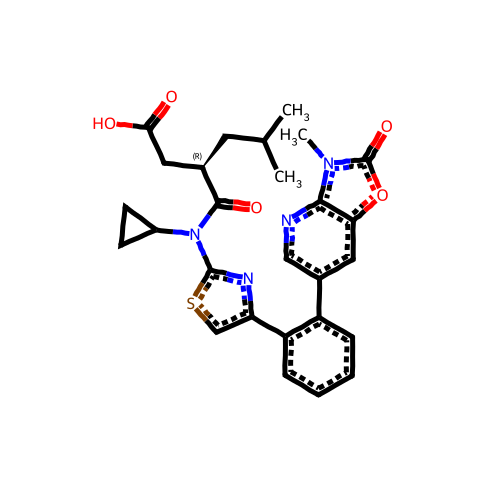 CC(C)C[C@H](CC(=O)O)C(=O)N(c1nc(-c2ccccc2-c2cnc3c(c2)oc(=O)n3C)cs1)C1CC1